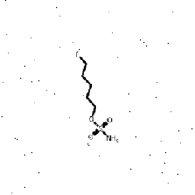 NS(=O)(=O)OCCCCCF